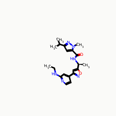 CCNc1cc(-c2cc([C@H](C)NC(=O)c3cc(C(C)C)nn3C)on2)ccn1